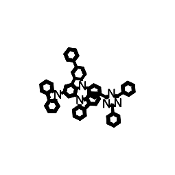 C1=CC2C(C=C1c1ccccc1)c1cc(-n3c4ccccc4c4ccccc43)cc(-n3c4ccccc4c4ccccc43)c1N2c1ccc(-c2nc(-c3ccccc3)nc(-c3ccccc3)n2)cc1